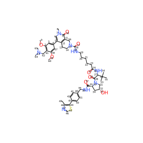 COc1cc(-c2cn(C)c(=O)c3c2CCN(C(=O)NCCCCCC(=O)NC(C(=O)N2C[C@H](O)C[C@H]2C(=O)NCc2ccc(-c4scnc4C)cc2)C(C)(C)C)C3)cc(OC)c1CN(C)C